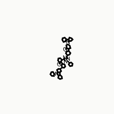 c1ccc(-c2nc(-c3ccc4c(c3)oc3cc(-n5c6ccccc6c6ccccc65)ccc34)nc(-c3cccc4oc5c(-c6ccc7c(c6)c6ccccc6n7-c6ccccc6)cccc5c34)n2)cc1